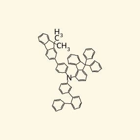 CC1(C)c2ccccc2-c2ccc(-c3ccc(N(c4cccc(-c5ccccc5-c5ccccc5)c4)c4cccc5c4-c4ccccc4C5(c4ccccc4)c4ccccc4)cc3)cc21